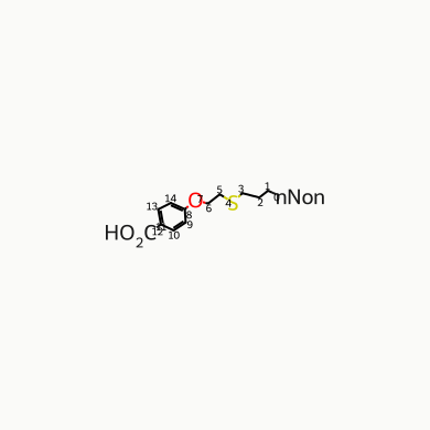 CCCCCCCCCCCCSCCOc1ccc(C(=O)O)cc1